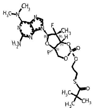 CN(C)c1nc(N)nc2c1ncn2[C@@H]1O[C@]2(F)COP(=O)(OCCSC(=O)C(C)(C)C)O[C@H]2[C@@]1(C)F